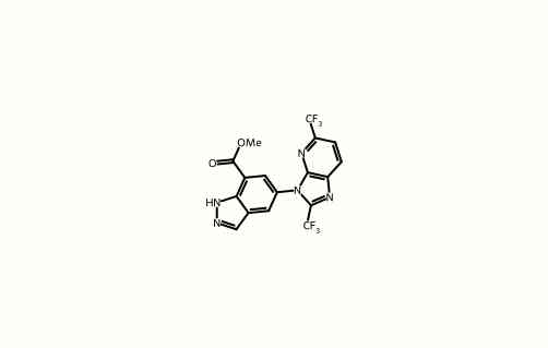 COC(=O)c1cc(-n2c(C(F)(F)F)nc3ccc(C(F)(F)F)nc32)cc2cn[nH]c12